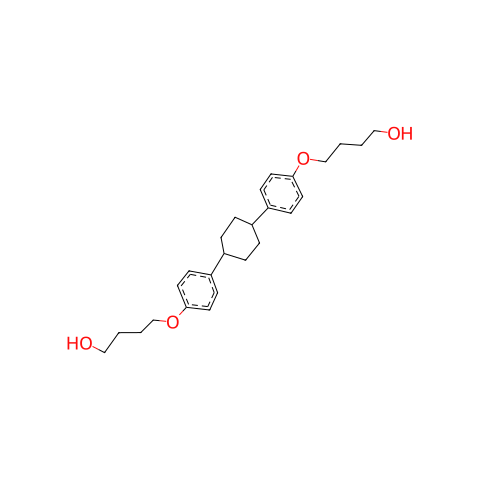 OCCCCOc1ccc(C2CCC(c3ccc(OCCCCO)cc3)CC2)cc1